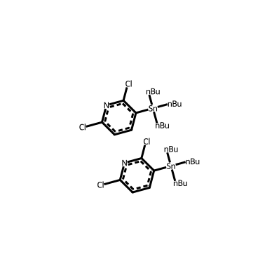 CCC[CH2][Sn]([CH2]CCC)([CH2]CCC)[c]1ccc(Cl)nc1Cl.CCC[CH2][Sn]([CH2]CCC)([CH2]CCC)[c]1ccc(Cl)nc1Cl